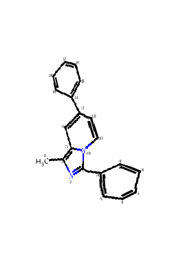 Cc1nc(-c2ccccc2)n2ccc(-c3ccccc3)cc12